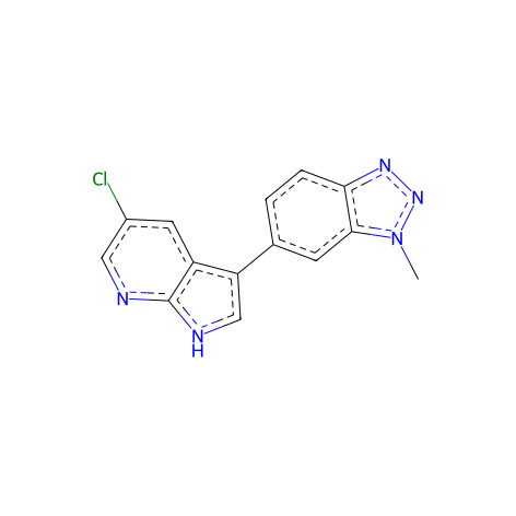 Cn1nnc2ccc(-c3c[nH]c4ncc(Cl)cc34)cc21